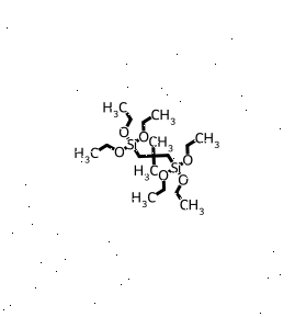 CCO[Si](CC(C)(C)C[Si](OCC)(OCC)OCC)(OCC)OCC